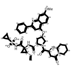 C=C[C@@H]1C[C@]1(NC(=O)[C@@H]1C[C@@H](Oc2cc(-c3ccccc3)nc3cc(OC)ccc23)CN1C(=O)[C@H](CC(=O)N1CCCCC1)C(C)(C)C)C(=O)NS(=O)(=O)C1CC1